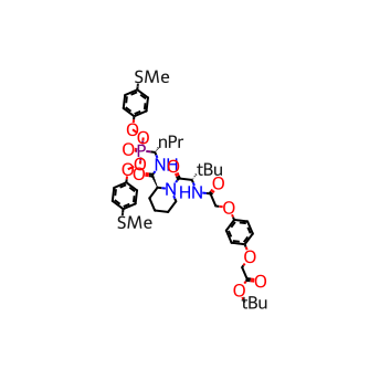 CCC[C@H](NC(=O)[C@@H]1CCCCN1C(=O)[C@@H](NC(=O)COc1ccc(OCC(=O)OC(C)(C)C)cc1)C(C)(C)C)P(=O)(OOc1ccc(SC)cc1)OOc1ccc(SC)cc1